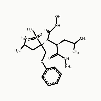 CC(C)C[C@@H](C(=O)NN)[C@@H](C(=O)NO)C(COc1ccccc1)(CC(C)C)S(C)(=O)=O